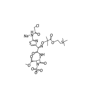 COC(=O)[C@H]1[C@@H](NC(=O)/C(=N/OC(C)(C)C(=O)OCC[Si](C)(C)C)c2csc(NC(=O)CCl)n2)C(=O)N1S(=O)(=O)[O-].[Na+]